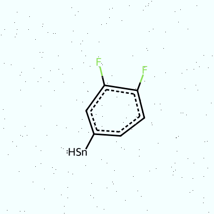 Fc1cc[c]([SnH])cc1F